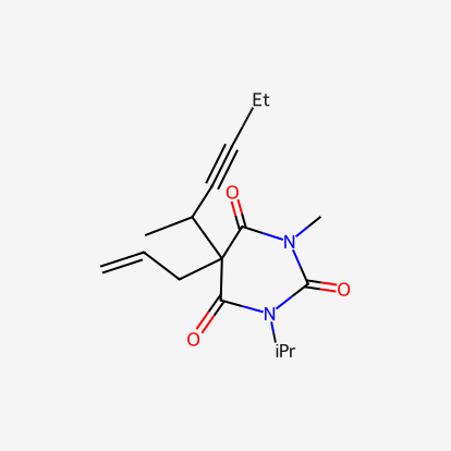 C=CCC1(C(C)C#CCC)C(=O)N(C)C(=O)N(C(C)C)C1=O